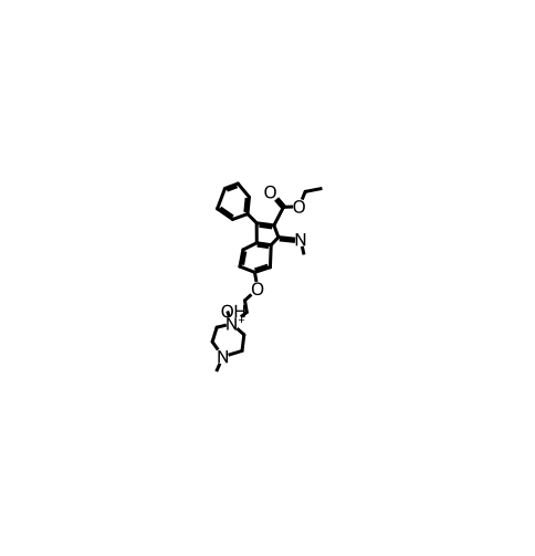 CCOC(=O)C1=C(c2ccccc2)c2ccc(OCC[N+]3(O)CCN(C)CC3)cc2/C1=N\C